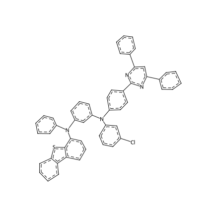 Clc1cccc(N(c2ccc(-c3nc(-c4ccccc4)cc(-c4ccccc4)n3)cc2)c2cccc(N(c3ccccc3)c3cccc4c3sc3ccccc34)c2)c1